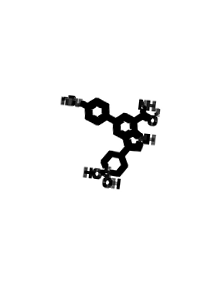 CCCCc1ccc(-c2cc(C(N)=O)c3[nH]cc(C4CCS(O)(O)CC4)c3c2)cc1